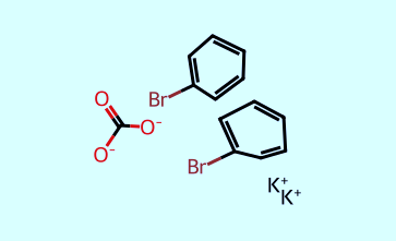 Brc1ccccc1.Brc1ccccc1.O=C([O-])[O-].[K+].[K+]